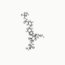 CC(F)(F)CCC(=O)c1cccc(-c2ccc3nc(C(C(=O)NCCS(N)(=O)=O)S(=O)(=O)CCC(F)(F)F)sc3c2)c1